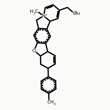 Cc1ccc(C2C=CC3c4cc5c(cc4OC3C2)C[N+]2(C)C=CC(CC(C)(C)C)=CC52)cc1